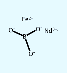 [Fe+2].[Nd+3].[O-]B([O-])[O-]